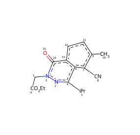 CCOC(=O)Cn1nc(C(C)C)c2c(C#N)c(C)ccc2c1=O